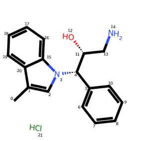 Cc1cn([C@@H](c2ccccc2)[C@H](O)CN)c2ccccc12.Cl